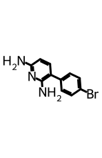 Nc1ccc(-c2ccc(Br)cc2)c(N)n1